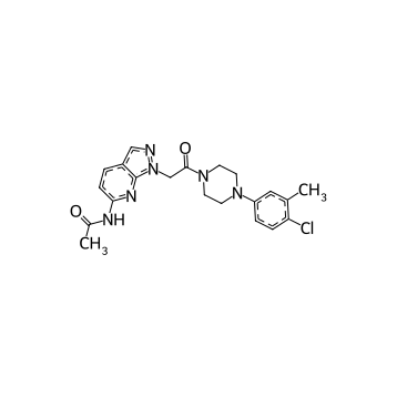 CC(=O)Nc1ccc2cnn(CC(=O)N3CCN(c4ccc(Cl)c(C)c4)CC3)c2n1